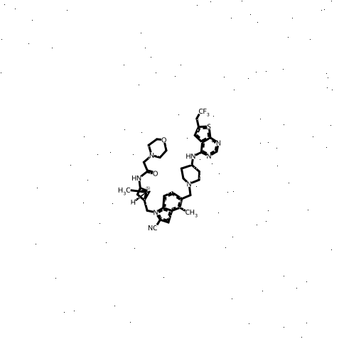 Cc1c(CN2CCC(Nc3ncnc4sc(CC(F)(F)F)cc34)CC2)ccc2c1cc(C#N)n2CC12CC(NC(=O)CN3CCOCC3)(C1)[C@H]2C